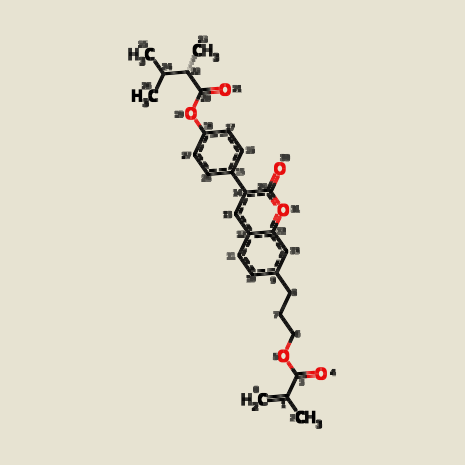 C=C(C)C(=O)OCCCc1ccc2cc(-c3ccc(OC(=O)[C@@H](C)C(C)C)cc3)c(=O)oc2c1